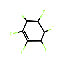 FC1=C(F)C(F)C(F)C(F)C1F